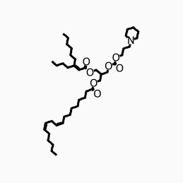 CCCCC/C=C\C/C=C\CCCCCCCC(=O)OCC(COC(=O)/C=C(/CCCC)CCCCCC)COC(=O)OCCCN1CCCCC1